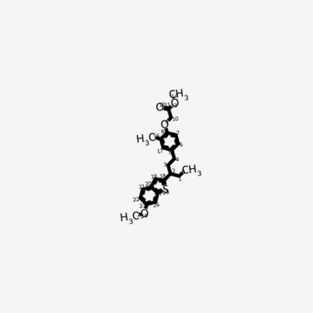 CCC(CCc1ccc(OCC(=O)OC)c(C)c1)c1cc2ccc(OC)cc2s1